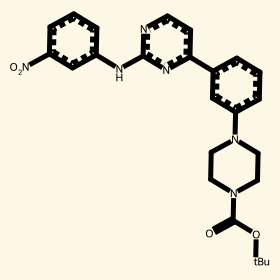 CC(C)(C)OC(=O)N1CCN(c2cccc(-c3ccnc(Nc4cccc([N+](=O)[O-])c4)n3)c2)CC1